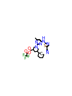 Cc1cc(Nc2ncc(C#N)s2)nc(N2CC(C(=O)OC(=O)C(F)(F)F)CC(C3CCCCC3)C2)n1